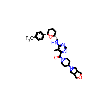 Cc1c(NC[C@H]2CCC[C@@H](c3ccc(C(F)(F)F)cc3)O2)ncnc1C(=O)N1CCC(N2CC3COCC3C2)CC1